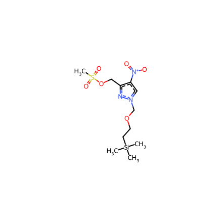 C[Si](C)(C)CCOCn1cc([N+](=O)[O-])c(COS(C)(=O)=O)n1